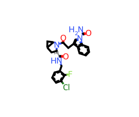 NC(=O)n1cc(CC(=O)N2C3CC3C[C@H]2C(=O)NCc2cccc(Cl)c2F)c2ccccc21